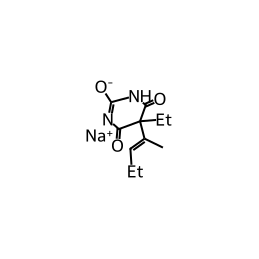 CCC=C(C)C1(CC)C(=O)N=C([O-])NC1=O.[Na+]